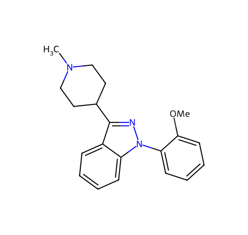 COc1ccccc1-n1nc(C2CCN(C)CC2)c2ccccc21